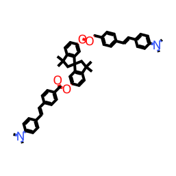 CN(C)c1ccc(/C=C/c2ccc(COOc3ccc4c(c3)C3(CC4(C)C)CC(C)(C)c4ccc(OC(=O)c5ccc(/C=C/c6ccc(N(C)C)cc6)cc5)cc43)cc2)cc1